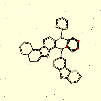 C1=CC2=c3c(oc4c(N(c5ccccc5)c5ccc6sc7ccccc7c6c5)c(N(c5ccccc5)c5ccccc5)ccc34)=CCC2C=C1